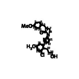 COc1ccc(CN2CCN(c3ccn(-c4cc(C)nc(Cl)c4CCCO)n3)C2=O)cc1